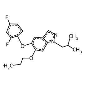 [CH2]CCOc1cc2c(cnn2CC(C)C)cc1Oc1ccc(F)cc1F